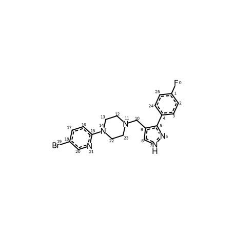 Fc1ccc(-c2n[nH]cc2CN2CCN(c3ccc(Br)cn3)CC2)cc1